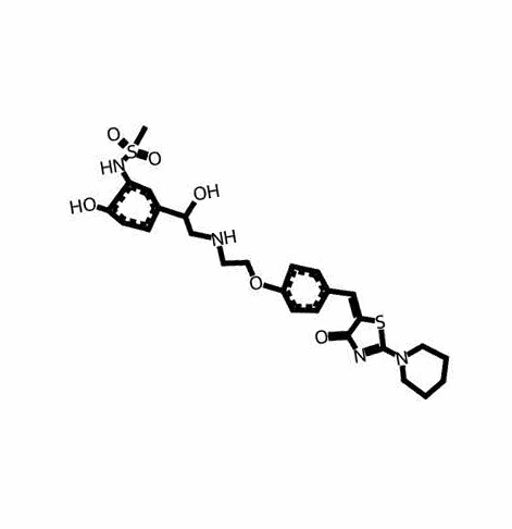 CS(=O)(=O)Nc1cc(C(O)CNCCOc2ccc(C=C3SC(N4CCCCC4)=NC3=O)cc2)ccc1O